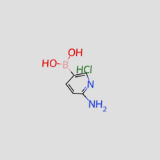 Cl.Nc1ccc(B(O)O)cn1